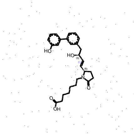 O=C(O)CCCCCCN1C(=O)CC[C@@H]1/C=C/[C@@H](O)Cc1cccc(-c2cccc(O)c2)c1